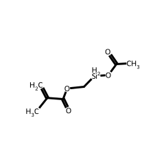 C=C(C)C(=O)OC[SiH2]OC(C)=O